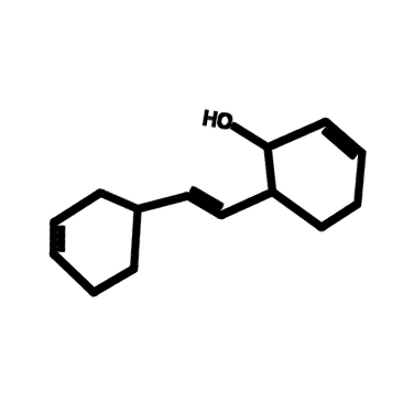 OC1C=CCCC1C=CC1CC=CCC1